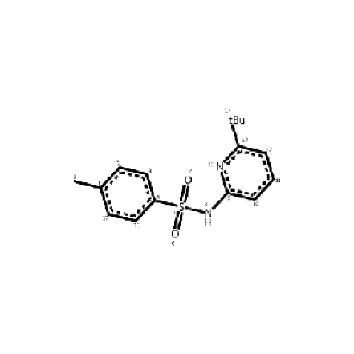 Cc1ccc(S(=O)(=O)Nc2cccc(C(C)(C)C)n2)cc1